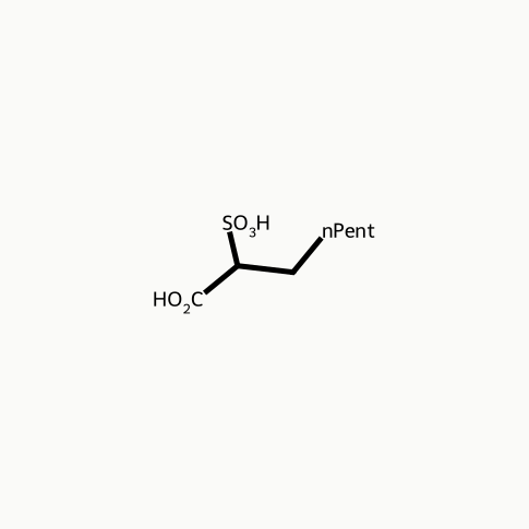 CCCCCCC(C(=O)O)S(=O)(=O)O